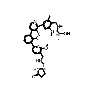 COc1cc(-c2nccc(-c3cccc(-c4ccc(CNC[C@@H]5CCC(=O)N5)c(OC)n4)c3Cl)c2Cl)cc(C)c1CN(C)C[C@@H](C)O